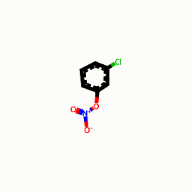 O=[N+]([O-])Oc1cccc(Cl)c1